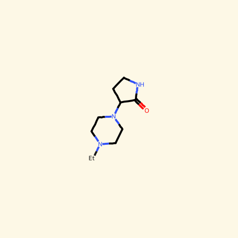 CCN1CCN(C2CCNC2=O)CC1